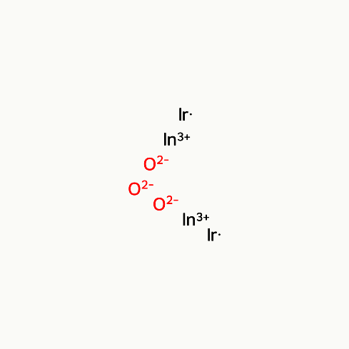 [In+3].[In+3].[Ir].[Ir].[O-2].[O-2].[O-2]